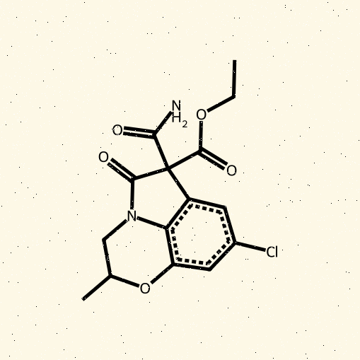 CCOC(=O)C1(C(N)=O)C(=O)N2CC(C)Oc3cc(Cl)cc1c32